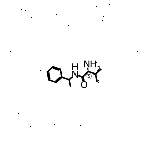 CC(NC(=O)[C@@H](N)C(C)C)c1ccccc1